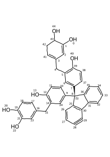 OC1=CC(Cc2cc([C@]3(c4ccc(O)c(Cc5ccc(O)c(O)c5)c4)c4ccc#cc4-c4ccccc43)ccc2O)=CCC1O